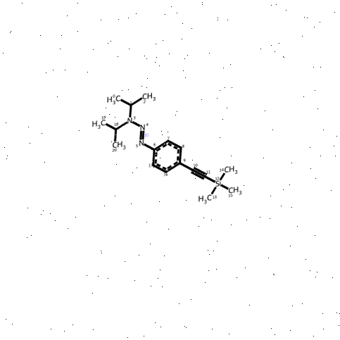 CC(C)N(/N=N/c1ccc(C#C[Si](C)(C)C)cc1)C(C)C